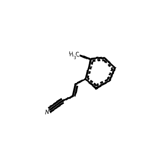 Cc1ccccc1C=CC#N